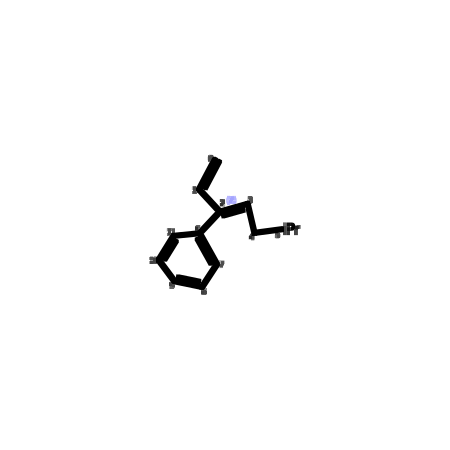 C=C/C(=C/CC(C)C)c1ccccc1